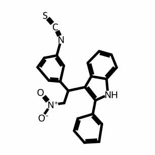 O=[N+]([O-])CC(c1cccc(N=C=S)c1)c1c(-c2ccccc2)[nH]c2ccccc12